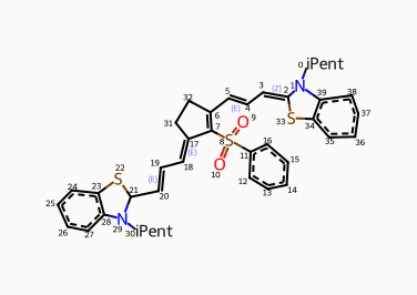 CCCC(C)N1/C(=C/C=C/C2=C(S(=O)(=O)c3ccccc3)C(=C/C=C/C3Sc4ccccc4N3C(C)CCC)/CC2)Sc2ccccc21